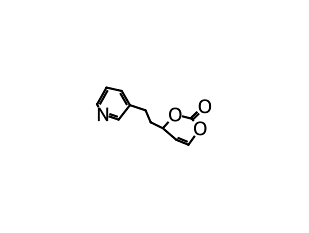 O=C1OC=CC(CCc2cccnc2)O1